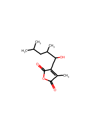 CC1=C(C(O)C(C)CC(C)C)C(=O)OC1=O